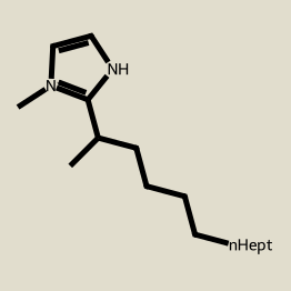 CCCCCCCCCCCC(C)c1[nH]cc[n+]1C